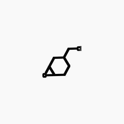 ClCC1CCC2OC2C1